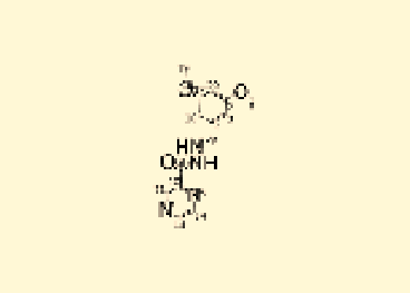 COc1cc(CNNC(=O)c2cnccn2)cc(OC)c1